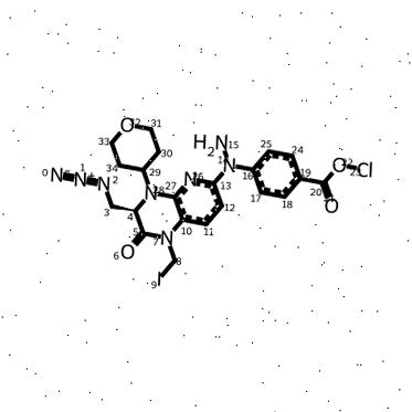 [N-]=[N+]=NC[C@@H]1C(=O)N(CI)c2ccc(N(N)c3ccc(C(=O)OCl)cc3)nc2N1C1CCOCC1